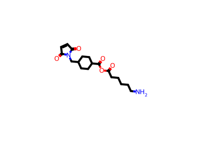 NCCCCCC(=O)OC(=O)C1CCC(CN2C(=O)C=CC2=O)CC1